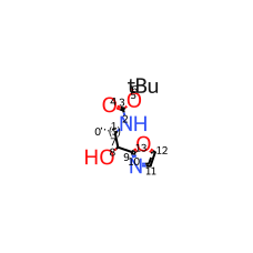 C[C@H](NC(=O)OC(C)(C)C)C(O)c1ncco1